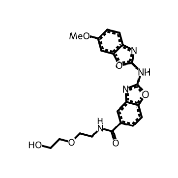 COc1ccc2nc(Nc3nc4cc(C(=O)NCCOCCO)ccc4o3)oc2c1